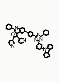 c1ccc(-c2nc(-c3ccc(-c4ccc5nc(-c6ccccc6)c6oc(-c7cccnc7)c(-c7cccnc7)c6c5c4)cc3)nc(-c3cccc(-n4c5ccccc5c5ccccc54)c3)n2)cc1